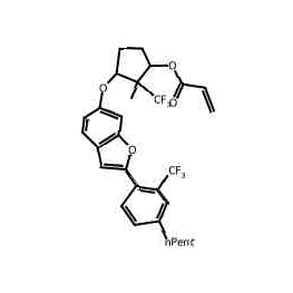 C=CC(=O)OC1CCC(Oc2ccc3cc(-c4ccc(CCCCC)cc4C(F)(F)F)oc3c2)C1(C)C(F)(F)F